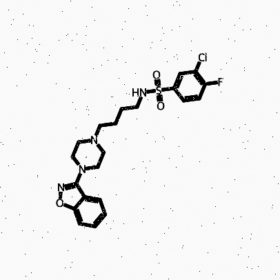 O=S(=O)(NCCCCN1CCN(c2noc3ccccc23)CC1)c1ccc(F)c(Cl)c1